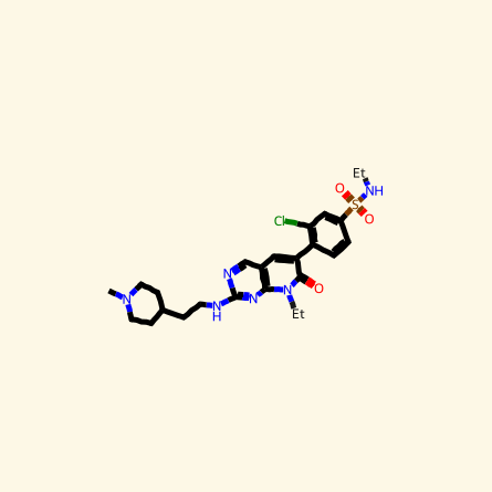 CCNS(=O)(=O)c1ccc(-c2cc3cnc(NCCC4CCN(C)CC4)nc3n(CC)c2=O)c(Cl)c1